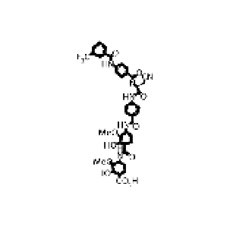 COc1c(NC(=O)c2ccc(NC(=O)c3ccc(NC(=O)[C@H](CC#N)NC(=O)c4ccc(NC(=O)c5cccc(C(F)(F)F)c5)cc4)cc3)c(OC)c2O)ccc(C(=O)O)c1O